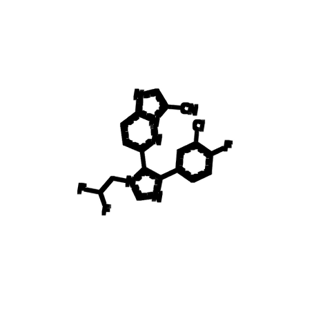 N#Cc1cnc2ccc(-c3c(-c4ccc(F)c(Cl)c4)ncn3CC(F)F)nn12